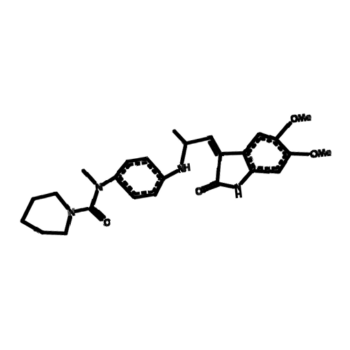 COc1cc2c(cc1OC)C(=CC(C)Nc1ccc(N(C)C(=O)N3CCCCC3)cc1)C(=O)N2